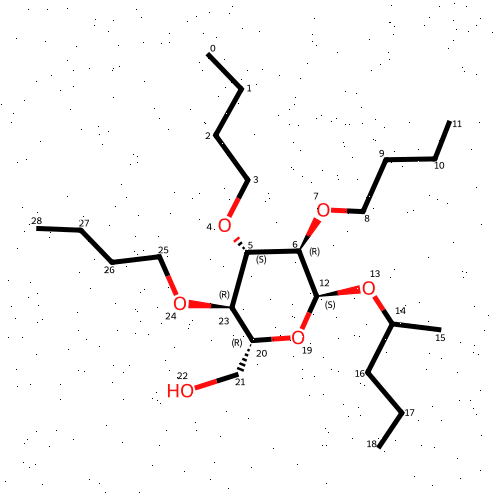 CCCCO[C@@H]1[C@@H](OCCCC)[C@@H](OC(C)CCC)O[C@H](CO)[C@H]1OCCCC